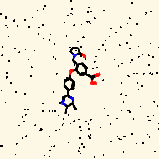 CC1N=CC(c2ccc(Oc3cc(C(=O)O)ccc3CN3CCCC3=O)cc2)=NC1C